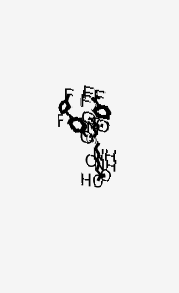 O=C(O)CNC(=O)NCC[C@H]1CN(S(=O)(=O)c2cccc(C(F)(F)F)c2)c2cc(-c3cc(F)ccc3F)ccc2O1